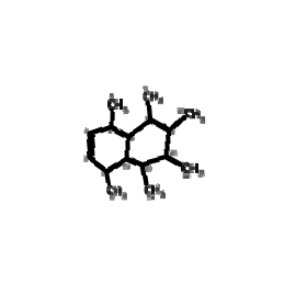 CC1C=CC(C)C2C(C)C(C)C(C)C(C)C12